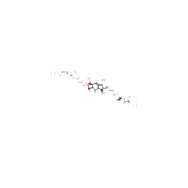 C=C(C)COC(=O)CCCCCn1c(=O)c2cc3c(=O)n(CCCCCC(=O)OCC(=C)C)c(=O)c3cc2c1=O